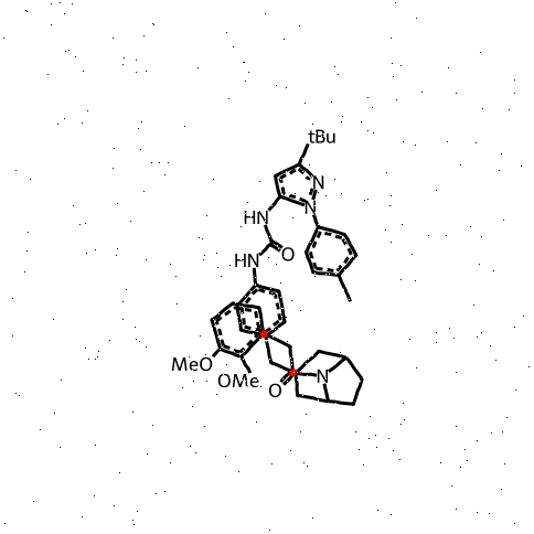 COc1cccc(CC(=O)N2C3CCC2CC(Cc2ccc(NC(=O)Nc4cc(C(C)(C)C)nn4-c4ccc(C)cc4)cc2)C3)c1OC